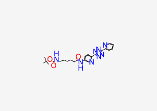 CC(C)(C)OC(=O)NCCCCCC(=O)Nc1ccc(-c2nnc(-c3ccccn3)nn2)nc1